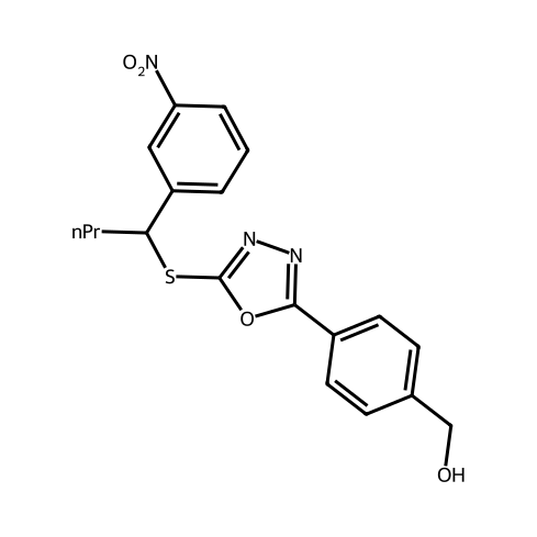 CCCC(Sc1nnc(-c2ccc(CO)cc2)o1)c1cccc([N+](=O)[O-])c1